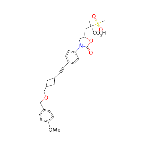 COc1ccc(COCC2CC(C#Cc3ccc(N4C[C@H](C[C@](C)(C(=O)O)S(C)(=O)=O)OC4=O)cc3)C2)cc1